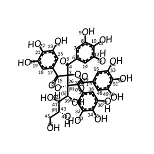 O=C(OC(C(=O)c1cc(O)c(O)c(O)c1)(C(=O)c1cc(O)c(O)c(O)c1)[C@@](O)(C(=O)c1cc(O)c(O)c(O)c1)[C@@H](O)[C@H](O)[C@H](O)CO)c1cc(O)c(O)c(O)c1